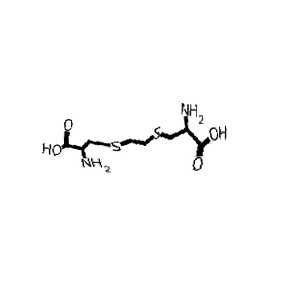 NC(CSCCSCC(N)C(=O)O)C(=O)O